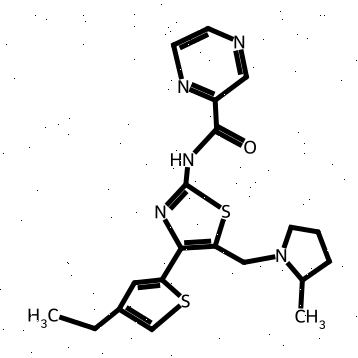 CCc1csc(-c2nc(NC(=O)c3cnccn3)sc2CN2CCCC2C)c1